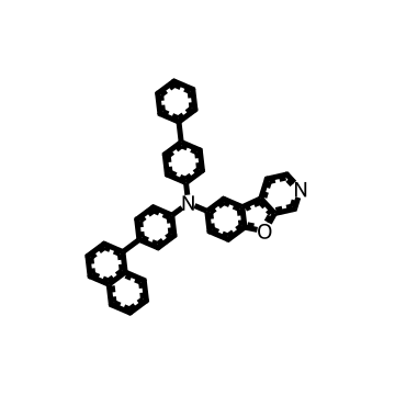 c1ccc(-c2ccc(N(c3ccc(-c4cccc5ccccc45)cc3)c3ccc4oc5cnccc5c4c3)cc2)cc1